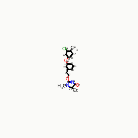 CCc1cn(C)c(OCCc2cccc(Oc3ccc(C(F)(F)F)c(Cl)c3)c2)nc1=O